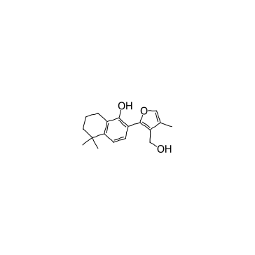 Cc1coc(-c2ccc3c(c2O)CCCC3(C)C)c1CO